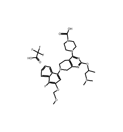 COCOc1cc(N2CCc3c(nc(OC(C)CN(C)C)nc3N3CCN(C(=O)O)CC3)C2)c2ccccc2c1F.O=C(O)C(F)(F)F